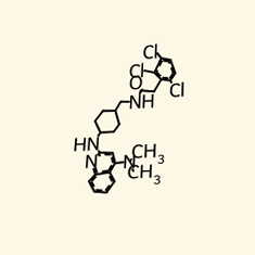 CN(C)c1cc(NC2CCC(CNC(=O)Cc3c(Cl)ccc(Cl)c3Cl)CC2)nc2ccccc12